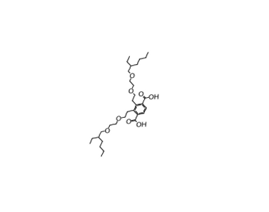 CCCCC(CC)COCCOCCc1c(C(=O)O)ccc(C(=O)O)c1CCOCCOCC(CC)CCCC